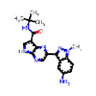 Cn1nc(-c2cnc3[nH]cc(C(=O)NC(C)(C)C)c3n2)c2cc(N)ccc21